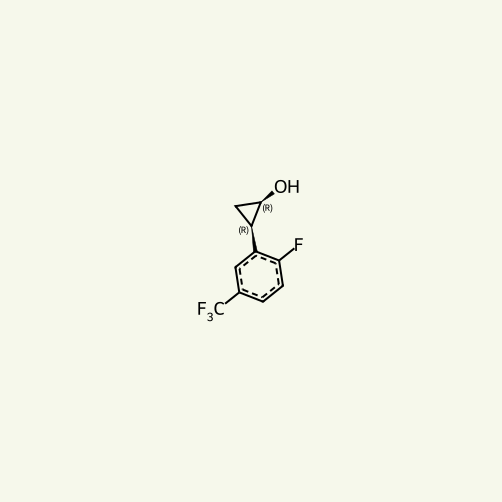 O[C@@H]1C[C@@H]1c1cc(C(F)(F)F)ccc1F